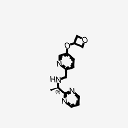 C[C@@H](NCc1ccc(OC2COC2)cn1)c1ncccn1